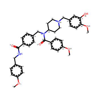 COc1ccc(CNC(=O)c2ccc(CN(C(=O)c3ccc(OC)cc3)C3CCN(Cc4ccc(OC)c(O)c4)CC3)cc2)cc1